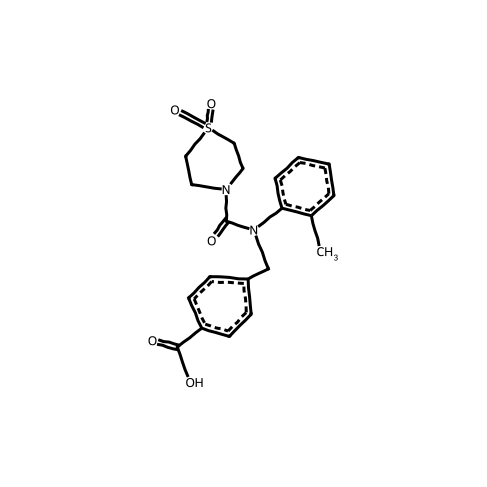 Cc1ccccc1N(Cc1ccc(C(=O)O)cc1)C(=O)N1CCS(=O)(=O)CC1